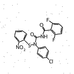 O=C(NC(=O)N(Sc1ccccc1[N+](=O)[O-])c1ccc(Cl)cc1)c1c(F)cccc1F